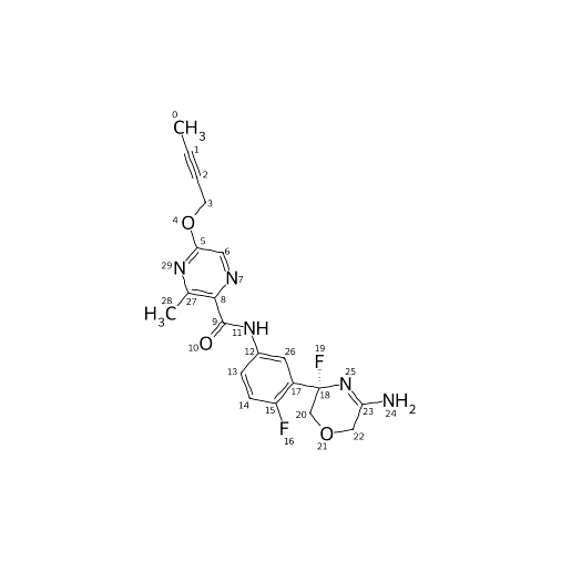 CC#CCOc1cnc(C(=O)Nc2ccc(F)c([C@]3(F)COCC(N)=N3)c2)c(C)n1